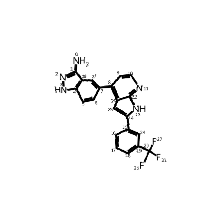 Nc1n[nH]c2ccc(-c3ccnc4[nH]c(-c5cccc(C(F)(F)F)c5)cc34)cc12